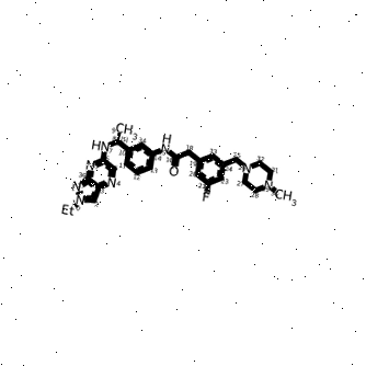 CCn1cc2ncc(N[C@@H](C)c3cccc(NC(=O)Cc4cc(F)cc(CN5CCN(C)CC5)c4)c3)nc2n1